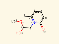 CCOC(O)Cn1c(C)cccc1=O